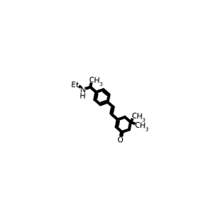 CCNC(C)c1ccc(/C=C/C2=CC(=O)CC(C)(C)C2)cc1